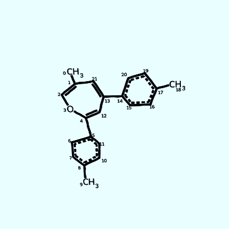 CC1=COC(c2ccc(C)cc2)=CC(c2ccc(C)cc2)=C1